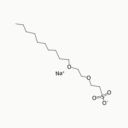 CCCCCCCCCCOCCOCCS(=O)(=O)[O-].[Na+]